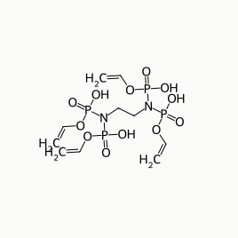 C=COP(=O)(O)N(CCN(P(=O)(O)OC=C)P(=O)(O)OC=C)P(=O)(O)OC=C